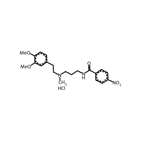 COc1ccc(CCN(C)CCCNC(=O)c2ccc([N+](=O)[O-])cc2)cc1OC.Cl